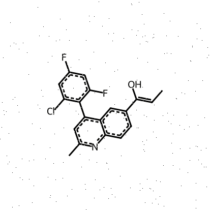 CC=C(O)c1ccc2nc(C)cc(-c3c(F)cc(F)cc3Cl)c2c1